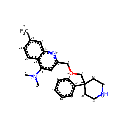 CN(C)c1cc(COCC2(c3ccccc3)CCNCC2)nc2cc(C(F)(F)F)ccc12